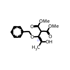 COC(=O)C(C(=O)OC)/C(OCc1ccccc1)=C(/C)O